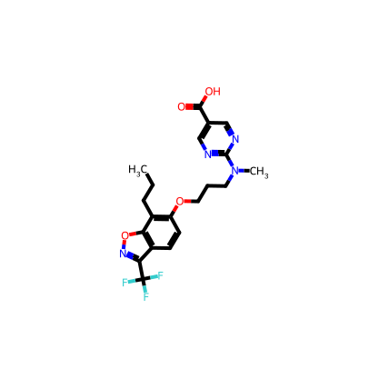 CCCc1c(OCCCN(C)c2ncc(C(=O)O)cn2)ccc2c(C(F)(F)F)noc12